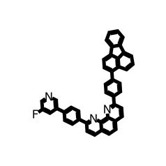 Fc1cncc(-c2ccc(-c3ccc4ccc5ccc(-c6ccc(-c7ccc8c9c(cccc79)-c7ccccc7-8)cc6)nc5c4n3)cc2)c1